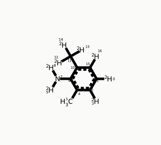 [2H]c1c([2H])c(C)c(N([2H])[2H])c(C([2H])([2H])[2H])c1[2H]